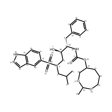 CC(C)CN(C[C@@H](O)[C@H](Cc1ccccc1)NC(=O)OC1CCCOC(C)OC1)S(=O)(=O)c1ccc2[nH]ncc2c1